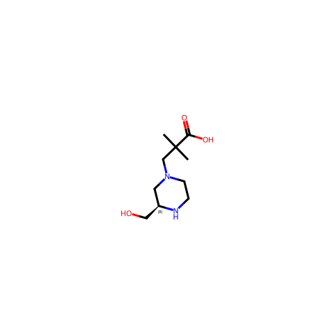 CC(C)(CN1CCN[C@@H](CO)C1)C(=O)O